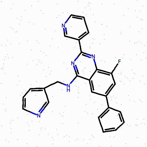 Fc1cc(-c2ccccc2)cc2c(NCc3cccnc3)nc(-c3cccnc3)nc12